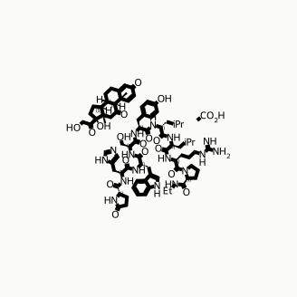 CC(=O)O.CCNC(=O)[C@@H]1CCCN1C(=O)[C@H](CCCNC(=N)N)NC(=O)[C@H](CC(C)C)NC(=O)[C@@H](CC(C)C)NC(=O)[C@H](Cc1ccc(O)cc1)NC(=O)[C@H](CO)NC(=O)[C@H](Cc1c[nH]c2ccccc12)NC(=O)[C@H](Cc1cnc[nH]1)NC(=O)[C@@H]1CCC(=O)N1.C[C@]12C=CC(=O)C=C1CC[C@@H]1[C@@H]2C(=O)C[C@@]2(C)[C@H]1CC[C@]2(O)C(=O)CO